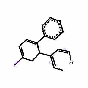 C/C=C(\C=C/CC)C1CC(I)=CC=C1c1ccccc1